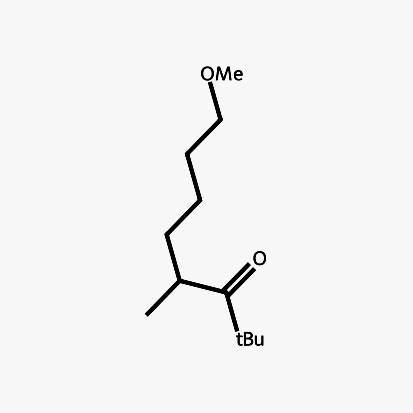 COCCCCC(C)C(=O)C(C)(C)C